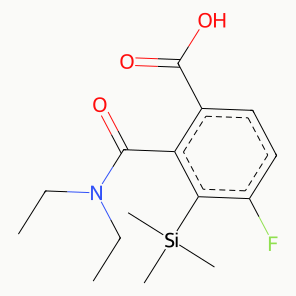 CCN(CC)C(=O)c1c(C(=O)O)ccc(F)c1[Si](C)(C)C